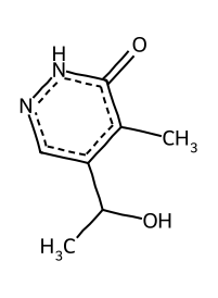 Cc1c(C(C)O)cn[nH]c1=O